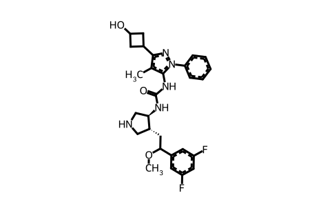 COC(C[C@@H]1CNC[C@H]1NC(=O)Nc1c(C)c(C2CC(O)C2)nn1-c1ccccc1)c1cc(F)cc(F)c1